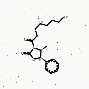 CC(C)CCC[C@@H](C)CCC(=O)N1C(=O)O[C@H](c2ccccc2)[C@@H]1C